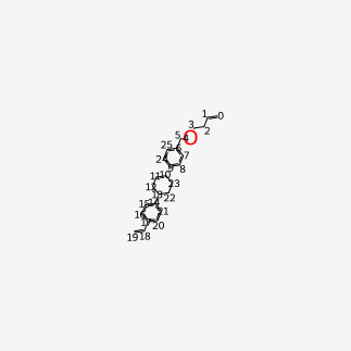 C=CCCOCc1ccc([C@H]2CC[C@H](c3ccc(C=C)cc3)CC2)cc1